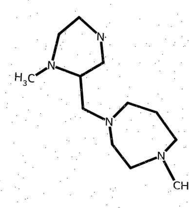 CN1CCCN(CC2C[N]CCN2C)CC1